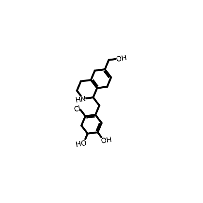 OCC1=CCC2=C(CCNC2CC2=C(Cl)CC(O)C(O)=C2)C1